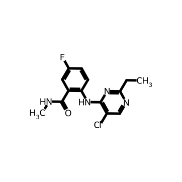 CCc1ncc(Cl)c(Nc2ccc(F)cc2C(=O)NC)n1